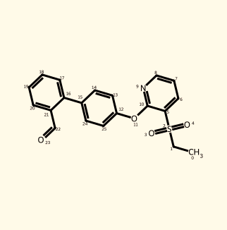 CCS(=O)(=O)c1cccnc1Oc1ccc(-c2ccccc2C=O)cc1